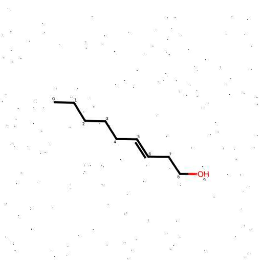 CCCCCC=CCCO